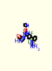 CN1CCC[C@H]1COc1nc(N2CCNC3COCC32)c2cc(Cl)c(-c3cccc4sc(N)nc34)c(F)c2n1